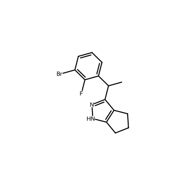 CC(c1cccc(Br)c1F)c1n[nH]c2c1CCC2